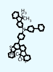 CC1(C)c2ccccc2-c2ccc(N(c3ccc(-c4ccccc4)cc3)c3ccc(-c4cc5sc6ccccc6c5c5c6c(ccc45)-c4ccccc4C6(C)C)cc3)cc21